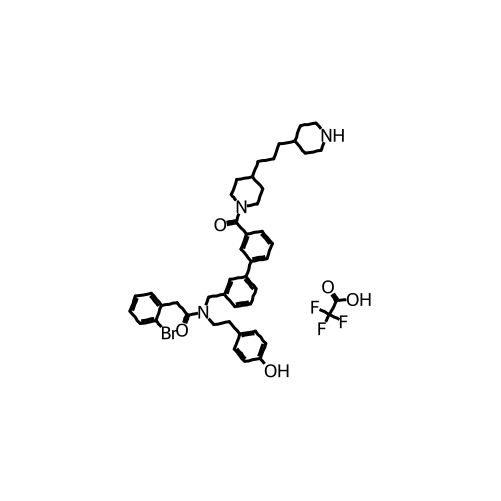 O=C(Cc1ccccc1Br)N(CCc1ccc(O)cc1)Cc1cccc(-c2cccc(C(=O)N3CCC(CCCC4CCNCC4)CC3)c2)c1.O=C(O)C(F)(F)F